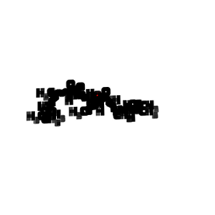 CSCCC(Nc1c(NCCCN(C)CCCNC(=O)OC(C)(C)C)c(=O)c1=O)C(=O)NCCCNC1C(=O)C(=O)C1NCCCN(C)CCCNC(=O)OC(C)(C)C